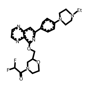 CCN1CCN(c2ccc(-c3cc4nccnc4c(OCC4CN(C(=O)C(F)F)CCO4)n3)cc2)CC1